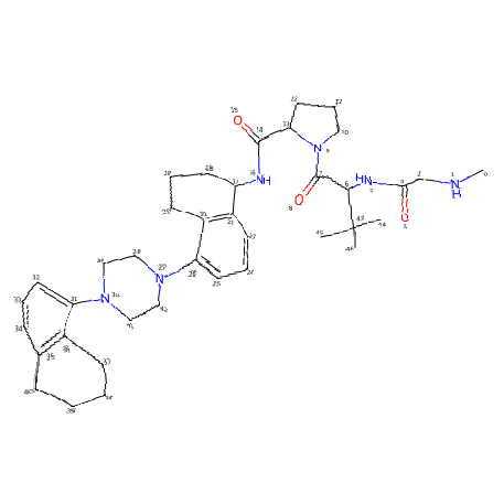 CNCC(=O)NC(C(=O)N1CCCC1C(=O)NC1CCCc2c1cccc2N1CCN(c2cccc3c2CCCC3)CC1)C(C)(C)C